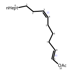 CCCCCCCCC/C=C\CCC/C=C/OC(C)=O